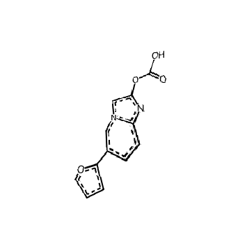 O=C(O)Oc1cn2cc(-c3ccco3)ccc2n1